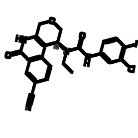 CCN(C(=O)Nc1ccc(F)c(Cl)c1)[C@@H]1COCc2[nH]c(=O)c3cc(C#N)ccc3c21